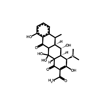 CC1c2cccc(O)c2C(=O)C2[C@@H]1[C@H](O)[C@H]1[C@@H](N(C)C)C(O)=C(C(N)=O)C(=O)[C@@H]1C2(O)O